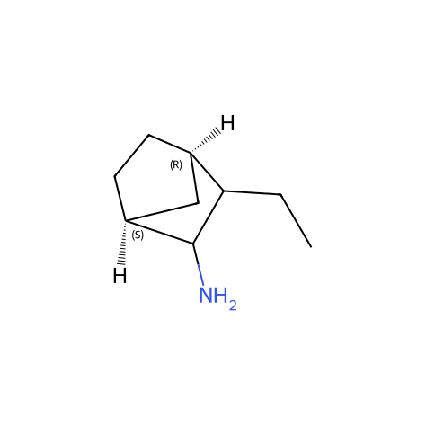 CCC1C(N)[C@H]2CC[C@@H]1C2